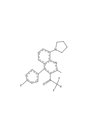 Cc1nc2c(N3CCCC3)cccc2c(-c2ccc(F)cc2)c1C(=O)C(F)(F)F